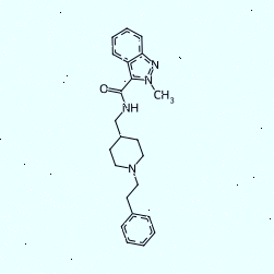 Cn1nc2ccccc2c1C(=O)NCC1CCN(CCc2ccccc2)CC1